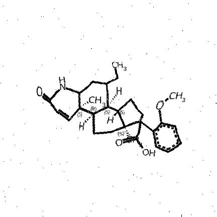 CCC1CC2NC(=O)C=C[C@]2(C)[C@@H]2CC[C@@]3(C)[C@@H](CCC3(C(=O)O)c3ccccc3OC)[C@H]12